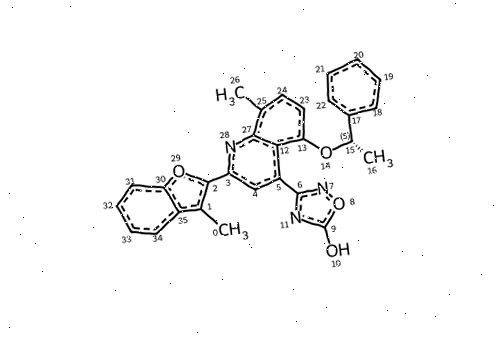 Cc1c(-c2cc(-c3noc(O)n3)c3c(O[C@@H](C)c4ccccc4)ccc(C)c3n2)oc2ccccc12